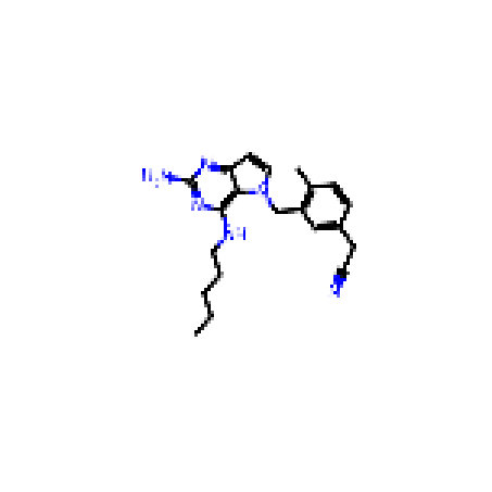 CCCCCNc1nc(N)nc2ccn(Cc3cc(CC#N)ccc3C)c12